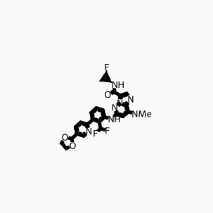 CNc1cc(Nc2cccc(-c3ccc(C4OCCO4)cn3)c2C(F)F)nn2c(C(=O)N[C@@H]3C[C@@H]3F)cnc12